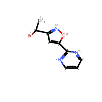 CC(Br)c1cc(-c2ncccn2)on1